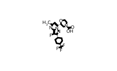 Cc1cc([C@H]2CN(C(=O)O)CCO2)n2nc([C@H]3CC[C@H](C(F)(F)F)CC3)c(F)c2n1